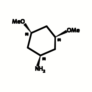 CO[C@@H]1C[C@H](N)C[C@H](OC)C1